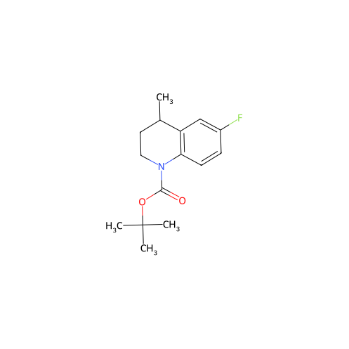 CC1CCN(C(=O)OC(C)(C)C)c2ccc(F)cc21